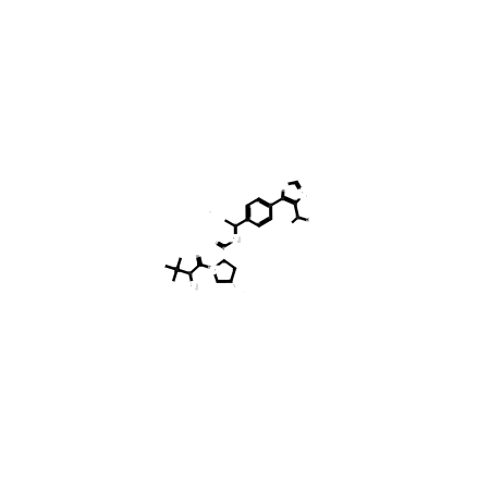 CC(NC(=O)[C@@H]1C[C@@H](O)CN1C(=O)C(N)C(C)(C)C)c1ccc(-c2scnc2C(F)F)cc1.Cl